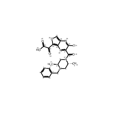 C[C@@H]1CN(Cc2ccccc2)[C@@H](C)CN1C(=O)c1nc2c(C(=O)C(=O)O)occ2nc1Cl